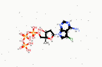 C[C@]1(COP(=O)(O)OP(=O)(O)OP(=O)(O)O)O[C@@H](n2cc(Cl)c3c(N)ncnc32)C[C@@H]1O